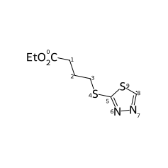 CCOC(=O)CCCSc1nn[c]s1